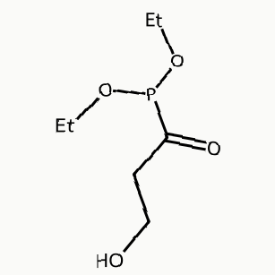 CCOP(OCC)C(=O)CCO